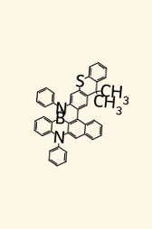 CC1(C)c2ccccc2Sc2cc3c(cc21)-c1c2c(cc4ccccc14)N(c1ccccc1)c1ccccc1B2N3c1ccccc1